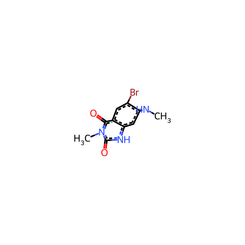 CNc1cc2[nH]c(=O)n(C)c(=O)c2cc1Br